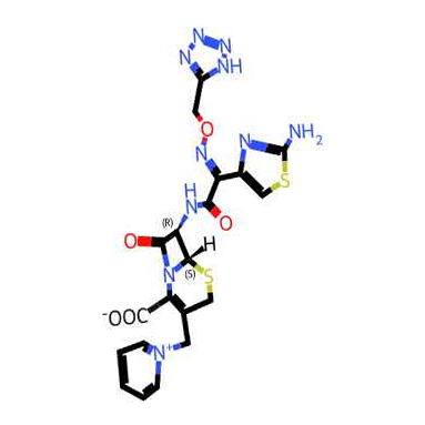 Nc1nc(C(=NOCc2nnn[nH]2)C(=O)N[C@@H]2C(=O)N3C(C(=O)[O-])=C(C[n+]4ccccc4)CS[C@@H]23)cs1